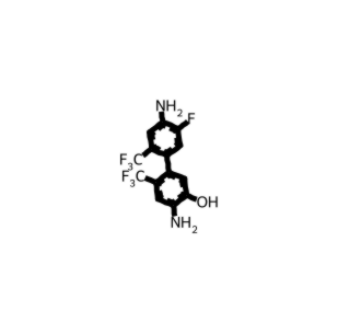 Nc1cc(C(F)(F)F)c(-c2cc(F)c(N)cc2C(F)(F)F)cc1O